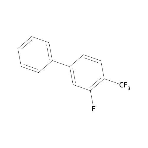 Fc1cc(-c2ccccc2)ccc1C(F)(F)F